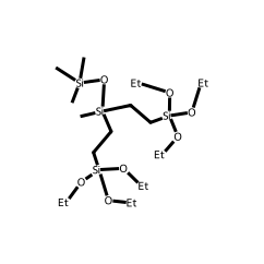 CCO[Si](CC[Si](C)(CC[Si](OCC)(OCC)OCC)O[Si](C)(C)C)(OCC)OCC